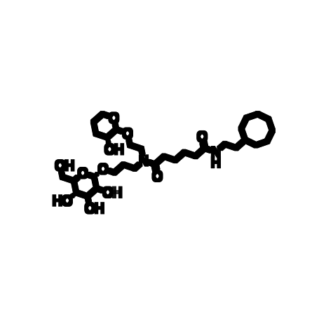 O=C(CCCCC(=O)N(CCCO[C@H]1OC(CO)[C@@H](O)C(O)C1O)CCOC1OCCC[C@@H]1O)NCCC1CCCCCCC1